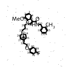 COc1cccc2c(C(=O)NCc3ccccc3C)cn(CCCN3CC4CCC3CN4CCOc3ccc(F)cc3)c12